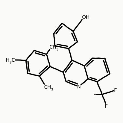 Cc1cc(C)c(-c2cnc3c(C(F)(F)F)cccc3c2-c2cccc(O)c2)c(C)c1